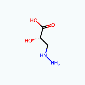 NNC[C@H](O)C(=O)O